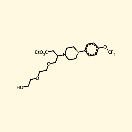 CCOC(=O)CC(COCCOCCO)N1CCN(c2ccc(OC(F)(F)F)cc2)CC1